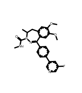 CNC(=O)N1N=C(c2ccc(-c3cncc(F)c3)cc2)c2cc(OC)c(OC)cc2CC1C